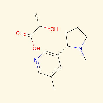 C[C@H](O)C(=O)O.Cc1cncc([C@@H]2CCCN2C)c1